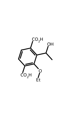 CCOc1c(C(=O)O)ccc(C(=O)O)c1C(C)O